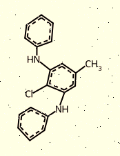 Cc1cc(Nc2ccccc2)c(Cl)c(Nc2ccccc2)c1